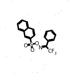 O=S(=O)(ON=C(c1ccccc1)C(F)(F)F)c1ccc2ccccc2c1